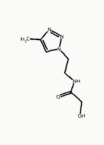 Cc1cn(CCNC(=O)CO)nn1